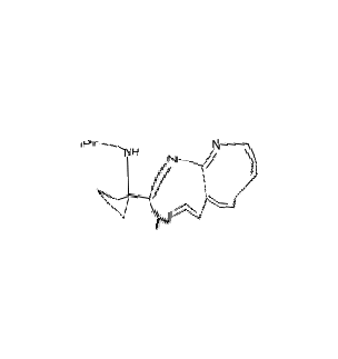 CC(C)NC1(c2ncc3cccnc3n2)CC1